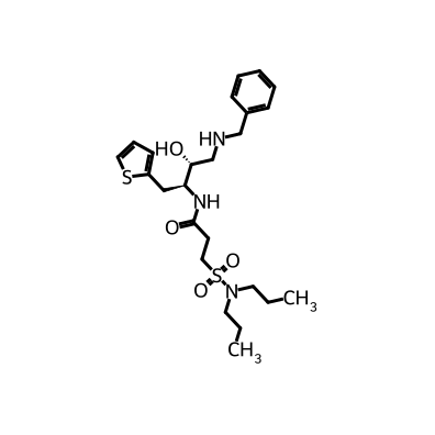 CCCN(CCC)S(=O)(=O)CCC(=O)N[C@@H](Cc1cccs1)[C@H](O)CNCc1ccccc1